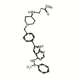 COC(=O)CCNC1CCN(Cc2ccc(-c3cc4c(N[C@H](C)c5ccccc5)ncnc4[nH]3)cc2)CC1